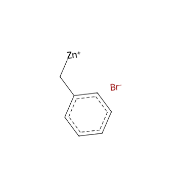 [Br-].[Zn+][CH2]c1ccccc1